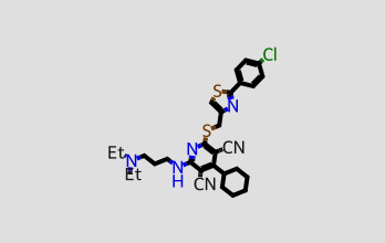 CCN(CC)CCCNc1nc(SCc2csc(-c3ccc(Cl)cc3)n2)c(C#N)c(C2CCCCC2)c1C#N